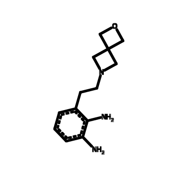 Nc1cccc(CCN2CC3(COC3)C2)c1N